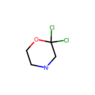 ClC1(Cl)C[N]CCO1